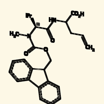 C=CCC(NC(=O)[C@H](C(C)C)N(C)C(=O)OCC1c2ccccc2-c2ccccc21)C(=O)O